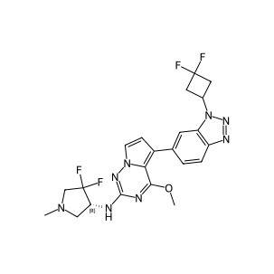 COc1nc(N[C@@H]2CN(C)CC2(F)F)nn2ccc(-c3ccc4nnn(C5CC(F)(F)C5)c4c3)c12